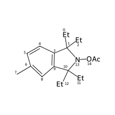 CCC1(CC)c2ccc(C)cc2C(CC)(CC)N1OC(C)=O